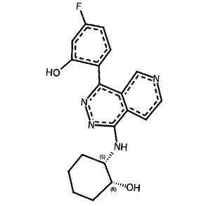 Oc1cc(F)ccc1-c1nnc(N[C@H]2CCCC[C@H]2O)c2ccncc12